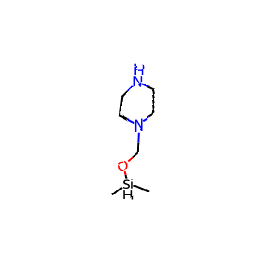 C[SiH](C)OCN1CCNCC1